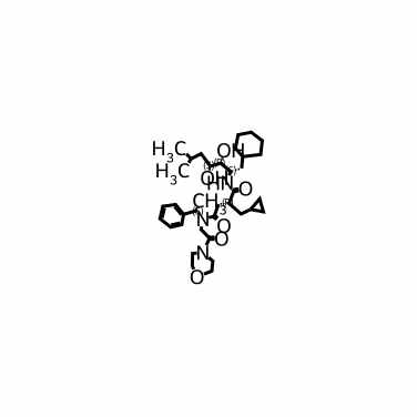 CC(C)C[C@H](O)[C@H](O)[C@H](CC1CCCCC1)NC(=O)[C@@H](CC(=O)N(CC(=O)N1CCOCC1)[C@@H](C)c1ccccc1)CC1CC1